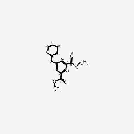 COC(=O)c1cc(CC2CCCCO2)cc(C(=O)OC)c1